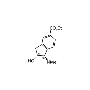 CCOC(=O)c1ccc2c(c1)C[C@@H](O)[C@@H]2NC